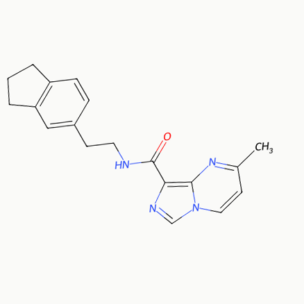 Cc1ccn2cnc(C(=O)NCCc3ccc4c(c3)CCC4)c2n1